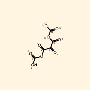 O=C(O)OC(=O)C(=O)C(=O)OC(=O)O